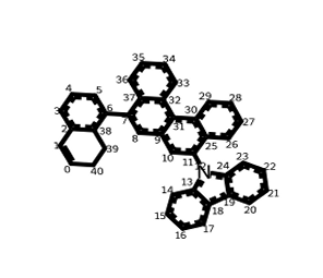 C1=Cc2cccc(-c3cc4cc(-n5c6ccccc6c6ccccc65)c5ccccc5c4c4ccccc34)c2CC1